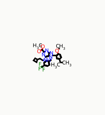 CCOc1ccc(C(C)C)cc1-c1nc2nc(C(=O)OC)nc(NCCC3CCC3)c2n1Cc1ccc(C(F)(F)F)cc1